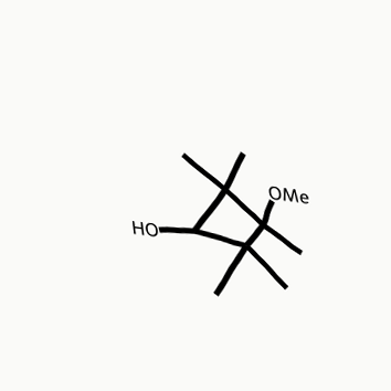 COC1(C)C(C)(C)C(O)C1(C)C